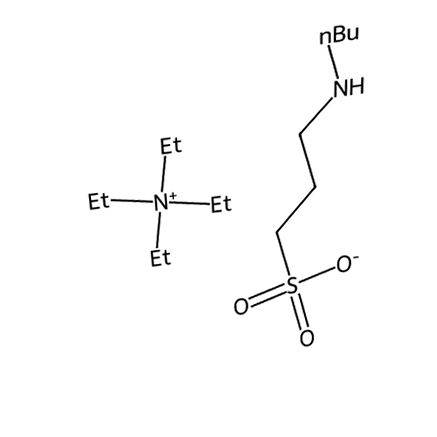 CCCCNCCCS(=O)(=O)[O-].CC[N+](CC)(CC)CC